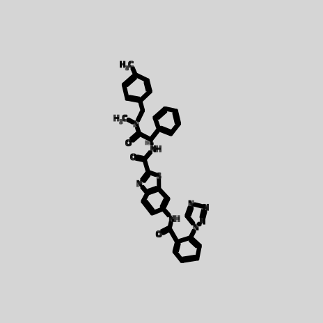 Cc1ccc(CN(C)C(=O)[C@@H](NC(=O)c2nc3ccc(NC(=O)c4ccccc4-n4cnnn4)cc3s2)c2ccccc2)cc1